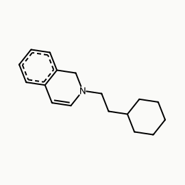 C1=CN(CCC2CCCCC2)Cc2ccccc21